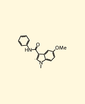 COc1ccc2c(c1)c(C(=O)Nc1ccccc1)[c]n2C